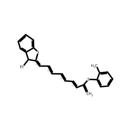 C=C(/C=C/C=C/C=C/C=C1\Sc2ccccc2C1CC)Sc1ccccc1C